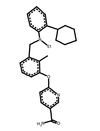 CCN(Cc1cccc(Oc2ccc(C(N)=O)cn2)c1C)c1ccccc1C1CCCCC1